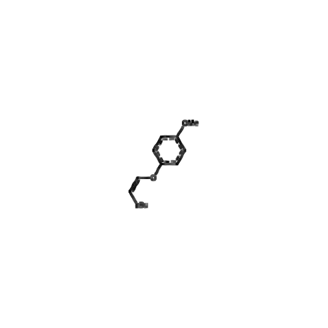 CCCC/C=C\Oc1ccc(OC)cc1